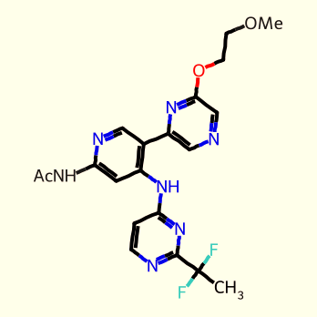 COCCOc1cncc(-c2cnc(NC(C)=O)cc2Nc2ccnc(C(C)(F)F)n2)n1